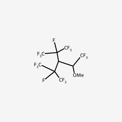 COC(C(C(F)(C(F)(F)F)C(F)(F)F)C(F)(C(F)(F)F)C(F)(F)F)C(F)(F)F